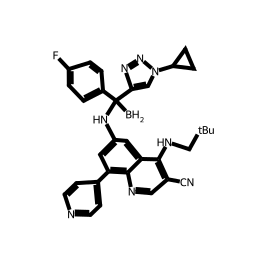 BC(Nc1cc(-c2ccncc2)c2ncc(C#N)c(NCC(C)(C)C)c2c1)(c1ccc(F)cc1)c1cn(C2CC2)nn1